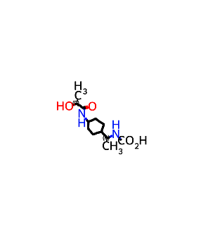 C[C@@H](O)C(=O)NC1CCC([C@@H](C)NC(=O)O)CC1